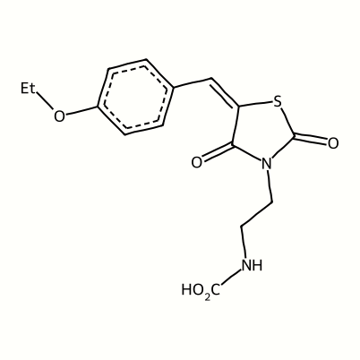 CCOc1ccc(C=C2SC(=O)N(CCNC(=O)O)C2=O)cc1